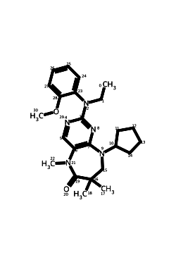 CCN(c1ncc2c(n1)N(C1CCCC1)CC(C)(C)C(=O)N2C)c1ccccc1OC